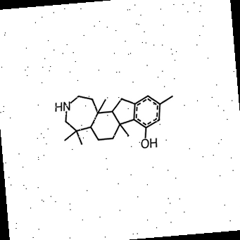 Cc1cc(O)c2c(c1)CC1C2(C)CCC2C(C)(C)CNCCC21C